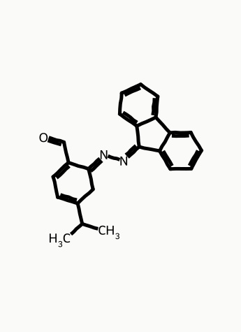 CC(C)C1=CC=C(C=O)C(=NN=C2c3ccccc3-c3ccccc32)C1